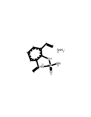 C=Cc1cccc(C=C)c1OP(=O)(S)S.[SnH2]